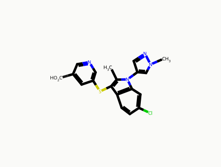 Cc1c(Sc2cncc(C(=O)O)c2)c2ccc(Cl)cc2n1-c1cnn(C)c1